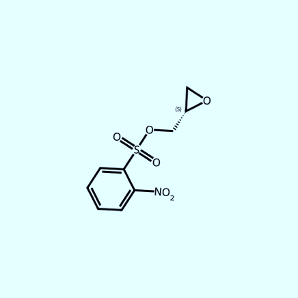 O=[N+]([O-])c1ccccc1S(=O)(=O)OC[C@@H]1CO1